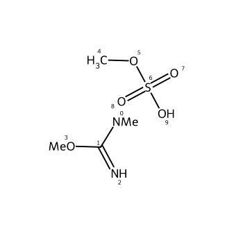 CNC(=N)OC.COS(=O)(=O)O